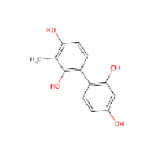 Cc1c(O)ccc(-c2ccc(O)cc2O)c1O